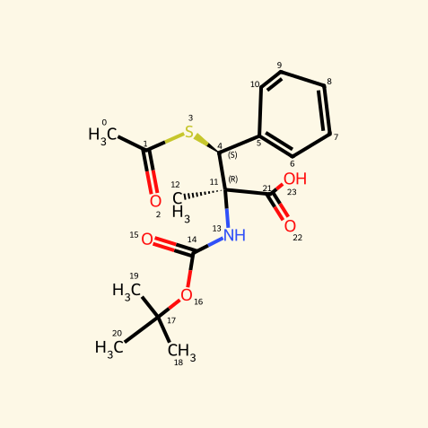 CC(=O)S[C@@H](c1ccccc1)[C@](C)(NC(=O)OC(C)(C)C)C(=O)O